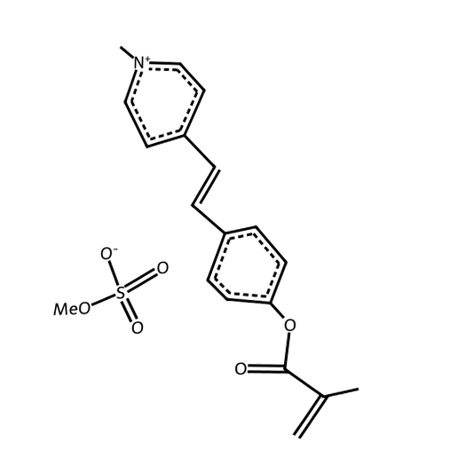 C=C(C)C(=O)Oc1ccc(C=Cc2cc[n+](C)cc2)cc1.COS(=O)(=O)[O-]